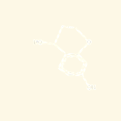 Oc1ccc2c(c1)OCC[C@H]2O